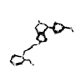 COc1ccc(C2CN(C)Cc3cc(OCCCN4CCOCC4CO)ccc32)cc1